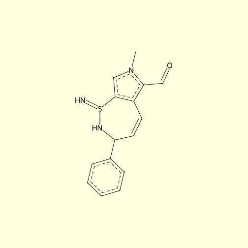 Cn1cc2c(c1C=O)C=CC(c1ccccc1)NS2=N